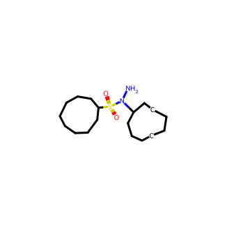 NN(C1CCCCCCCC1)S(=O)(=O)C1CCCCCCCC1